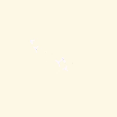 Cc1ncn(Cc2ccc(-n3ncn(Cc4c(F)cccc4F)c3=O)cc2)c1I